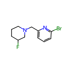 FC1CCCN(Cc2cccc(Br)n2)C1